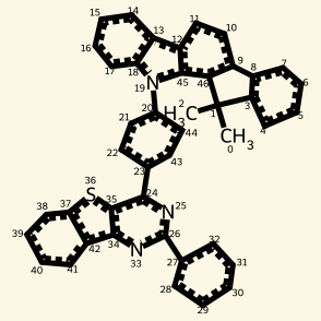 CC1(C)c2ccccc2-c2ccc3c4ccccc4n(-c4ccc(-c5nc(-c6ccccc6)nc6c5sc5ccccc56)cc4)c3c21